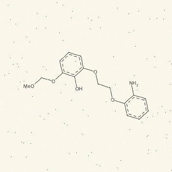 COCOc1cccc(OCCOc2ccccc2N)c1O